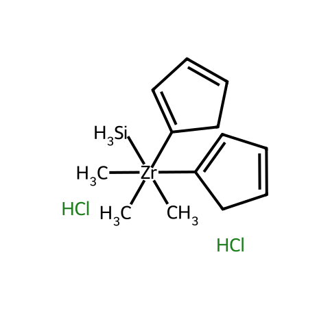 Cl.Cl.[CH3][Zr]([CH3])([CH3])([SiH3])([C]1=CC=CC1)[C]1=CC=CC1